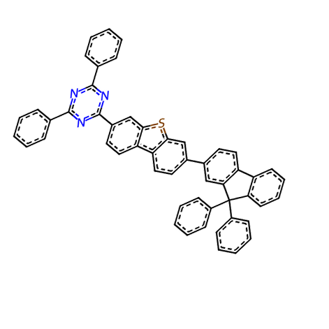 c1ccc(-c2nc(-c3ccccc3)nc(-c3ccc4c(c3)sc3cc(-c5ccc6c(c5)C(c5ccccc5)(c5ccccc5)c5ccccc5-6)ccc34)n2)cc1